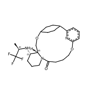 C[C@@H](N[C@H]1CCCN2C(=O)CCCOc3cccc(n3)C3CCC(CC3)OC[C@@H]12)C(F)(F)F